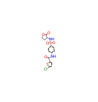 O=C(Nc1ccc(S(=O)(=O)NC2CCOC2=O)cc1)c1ccc(Cl)s1